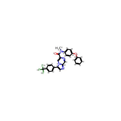 CN(C(=O)c1cn2c(-c3ccc(C(F)(F)F)cc3)cnc2cn1)c1ccc(Oc2ccccc2)cc1